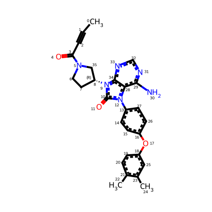 CC#CC(=O)N1CC[C@@H](n2c(=O)n(-c3ccc(Oc4ccc(C)c(C)c4)cc3)c3c(N)ncnc32)C1